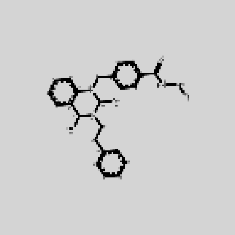 CCNNC(=O)c1ccc(CN2c3ccccc3C(O)N(CCc3ccccc3)C2O)cc1